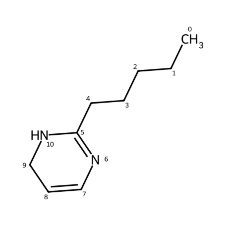 CCCCCC1=NC=CCN1